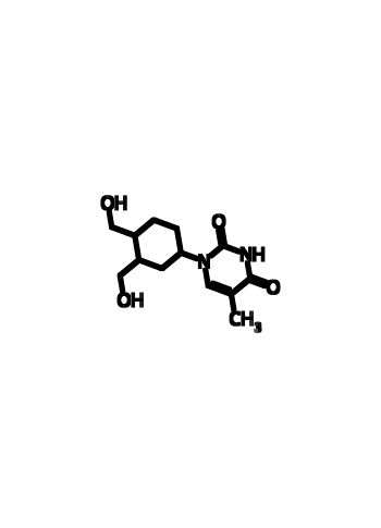 Cc1cn(C2CCC(CO)C(CO)C2)c(=O)[nH]c1=O